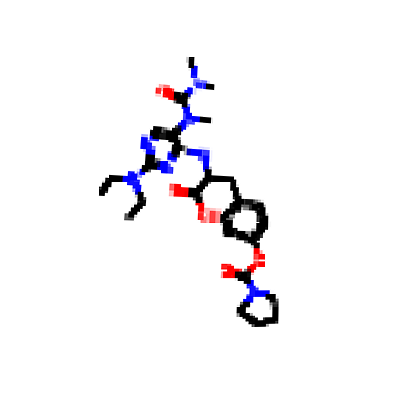 CCN(CC)c1ncc(N(C)C(=O)N(C)C)c(N[C@@H](Cc2ccc(OC(=O)N3CCCC3)cc2)C(=O)O)n1